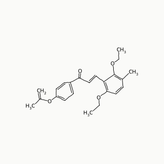 C=C(C)Oc1ccc(C(=O)/C=C/c2c(OCC)ccc(C)c2OCC)cc1